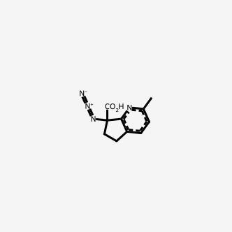 Cc1ccc2c(n1)C(N=[N+]=[N-])(C(=O)O)CC2